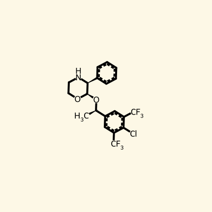 C[C@@H](O[C@H]1OCCN[C@H]1c1ccccc1)c1cc(C(F)(F)F)c(Cl)c(C(F)(F)F)c1